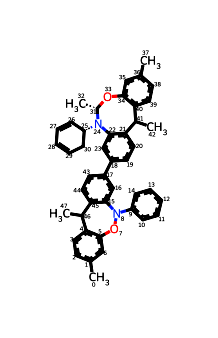 Cc1ccc2c(c1)ON(c1ccccc1)c1cc(-c3ccc4c(c3)N([C@H]3C=CC=CC3)[C@H](C)Oc3cc(C)ccc3C4C)ccc1C2C